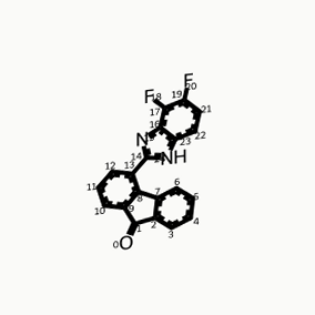 O=C1c2ccccc2-c2c1cccc2-c1nc2c(F)c(F)ccc2[nH]1